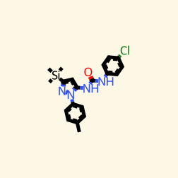 Cc1ccc(-n2nc([Si](C)(C)C)cc2NC(=O)Nc2ccc(Cl)cc2)cc1